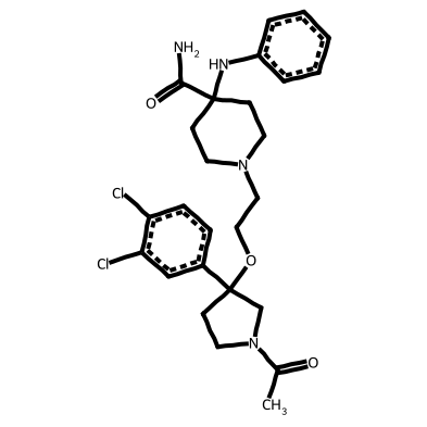 CC(=O)N1CCC(OCCN2CCC(Nc3ccccc3)(C(N)=O)CC2)(c2ccc(Cl)c(Cl)c2)C1